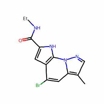 CCNC(=O)c1cc2c(Br)cc3c(C)cnn3c2[nH]1